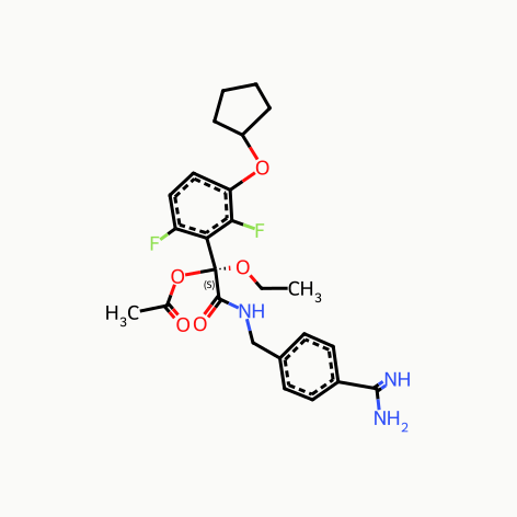 CCO[C@@](OC(C)=O)(C(=O)NCc1ccc(C(=N)N)cc1)c1c(F)ccc(OC2CCCC2)c1F